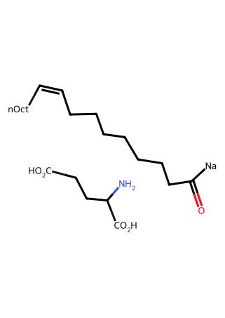 CCCCCCCC/C=C\CCCCCCC[C](=O)[Na].NC(CCC(=O)O)C(=O)O